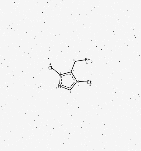 BCc1c(Cl)ncn1CC